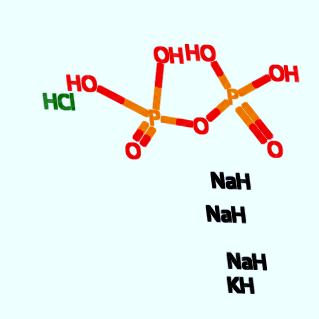 Cl.O=P(O)(O)OP(=O)(O)O.[KH].[NaH].[NaH].[NaH]